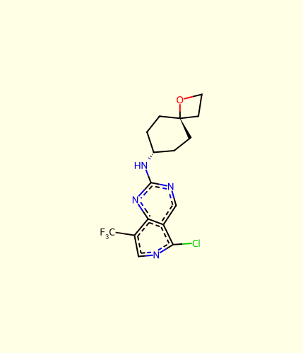 FC(F)(F)c1cnc(Cl)c2cnc(N[C@H]3CC[C@@]4(CCO4)CC3)nc12